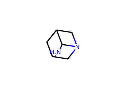 NC1C2CCCN1C2